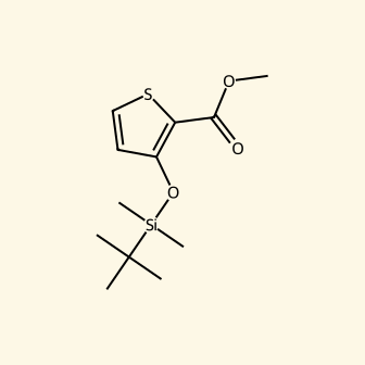 COC(=O)c1sccc1O[Si](C)(C)C(C)(C)C